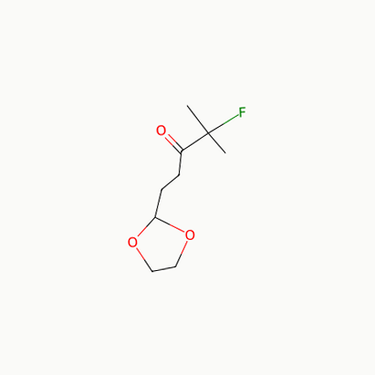 CC(C)(F)C(=O)CCC1OCCO1